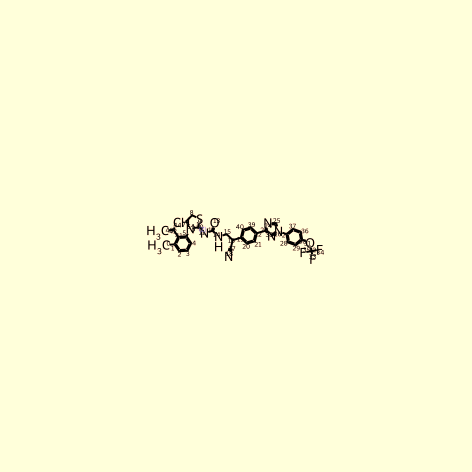 Cc1cccc(N2CCS/C2=N\C(=O)NCC(C#N)c2ccc(-c3ncn(-c4ccc(OC(F)(F)F)cc4)n3)cc2)c1C(C)C